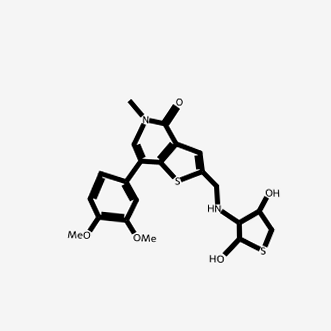 COc1ccc(-c2cn(C)c(=O)c3cc(CNC4C(O)CSC4O)sc23)cc1OC